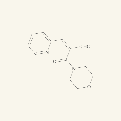 O=[C]C(=Cc1ccccn1)C(=O)N1CCOCC1